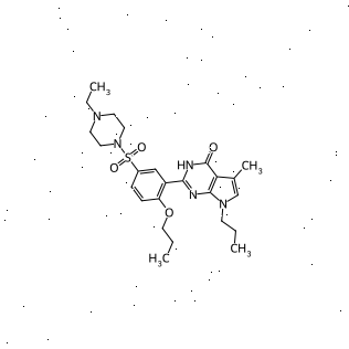 CCCOc1ccc(S(=O)(=O)N2CCN(CC)CC2)cc1-c1nc2c(c(C)cn2CCC)c(=O)[nH]1